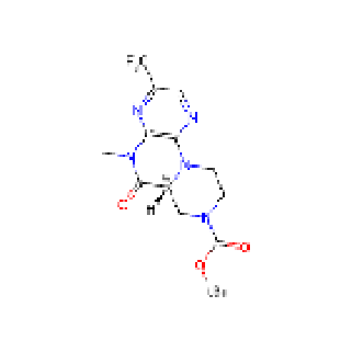 CN1C(=O)[C@H]2CN(C(=O)OC(C)(C)C)CCN2c2ncc(C(F)(F)F)nc21